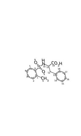 Cc1ccccc1S(=O)(=O)NC(Cc1ccccc1)C(=O)O